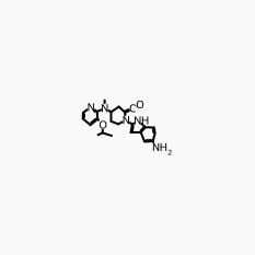 CC(C)Oc1cccnc1N(C)C1CCN(c2cc3cc(N)ccc3[nH]2)C(=C=O)C1